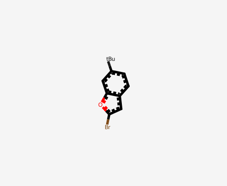 CC(C)(C)c1ccc2cc(Br)oc2c1